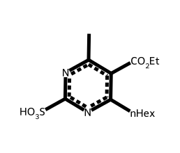 CCCCCCc1nc(S(=O)(=O)O)nc(C)c1C(=O)OCC